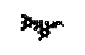 CCNC(=O)c1ccc(F)cc1NC(=O)Nc1cc(Br)cc(Br)c1